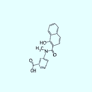 CN(C(=O)c1ccc2ccccc2c1O)c1cccc(C(=O)O)c1